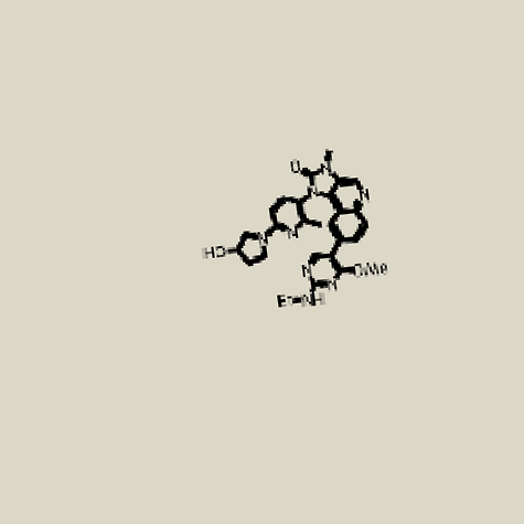 CCNc1ncc(-c2ccc3ncc4c(c3c2)n(-c2ccc(N3CCC(O)C3)nc2C)c(=O)n4C)c(OC)n1